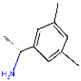 Cc1cc(C)cc([C@@H](C)N)c1